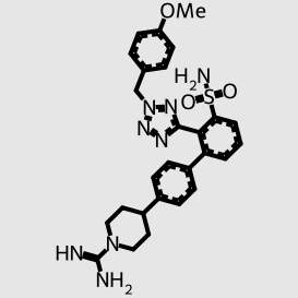 COc1ccc(Cn2nnc(-c3c(-c4ccc(C5CCN(C(=N)N)CC5)cc4)cccc3S(N)(=O)=O)n2)cc1